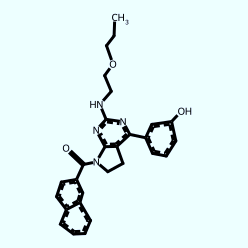 CCCOCCNc1nc(-c2cccc(O)c2)c2c(n1)N(C(=O)c1ccc3ccccc3c1)CC2